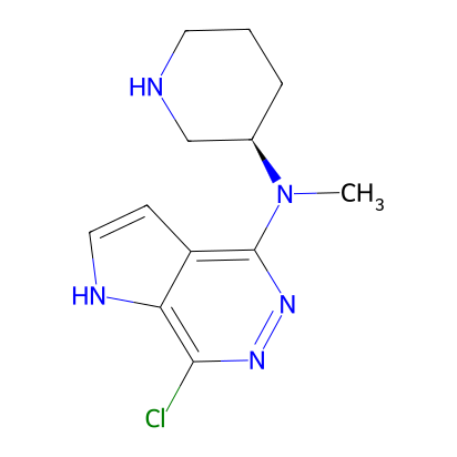 CN(c1nnc(Cl)c2[nH]ccc12)[C@@H]1CCCNC1